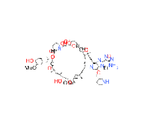 CCn1c(-c2nonc2N)nc2c(C#CC3(C)O[C@H]4C[C@@H]5CC[C@@H](C)[C@@](O)(O5)C(=O)C(=O)N5CCCC[C@H]5C(=O)O[C@H](C(C)C[C@H]5CC[C@@H](O)[C@H](OC)C5)CC(=O)[C@H](C)/C=C(\C)[C@@H](O)[C@@H](OC)C(=O)[C@H](C)C[C@H](C)/C=C/C=C/C=C\43)ncc(OC[C@H]3CCCNC3)c21